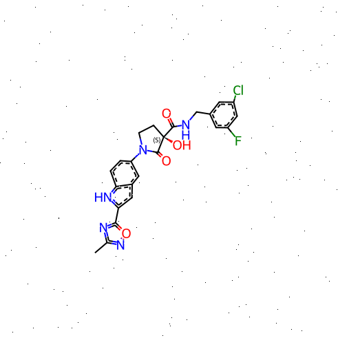 Cc1noc(-c2cc3cc(N4CC[C@](O)(C(=O)NCc5cc(F)cc(Cl)c5)C4=O)ccc3[nH]2)n1